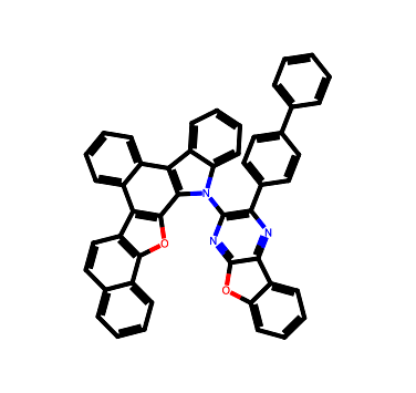 c1ccc(-c2ccc(-c3nc4c(nc3-n3c5ccccc5c5c6ccccc6c6c7ccc8ccccc8c7oc6c53)oc3ccccc34)cc2)cc1